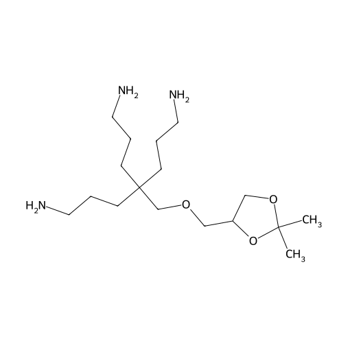 CC1(C)OCC(COCC(CCCN)(CCCN)CCCN)O1